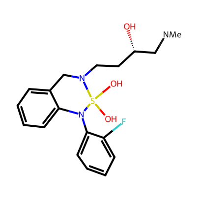 CNC[C@@H](O)CCN1Cc2ccccc2N(c2ccccc2F)S1(O)O